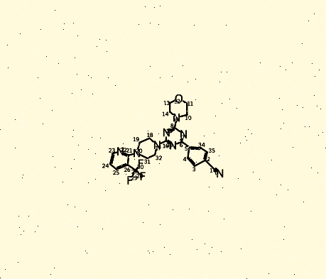 N#Cc1ccc(-c2nc(N3CCOCC3)nc(N3CCN(c4ncccc4C(F)(F)F)CC3)n2)cc1